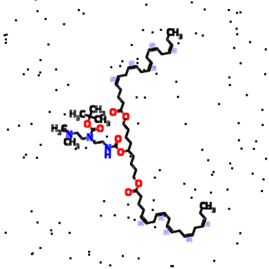 CC/C=C\C/C=C\C/C=C\C/C=C\C/C=C\CCCC(=O)OCCCCC(CCCCOC(=O)CCC/C=C\C/C=C\C/C=C\C/C=C\C/C=C\CC)OC(=O)NCCN(CCN(C)C)C(=O)OC(C)(C)C